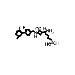 Cc1ccc(F)c(-c2ccc(CNC3CC([C@@](N)(CCCCB(O)O)C(=O)O)C3)cc2F)c1